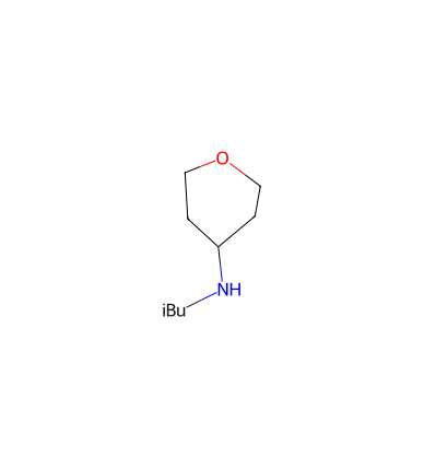 CCC(C)NC1CCOCC1